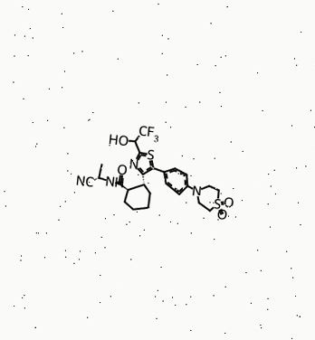 C[C@@H](C#N)NC(=O)[C@@H]1CCCC[C@H]1c1nc(C(O)C(F)(F)F)sc1-c1ccc(N2CCS(=O)(=O)CC2)cc1